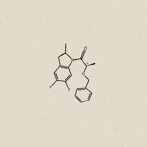 CC1Cc2cc(F)c(F)cc2N1C(=O)[C@@H](C)OCc1ccccc1